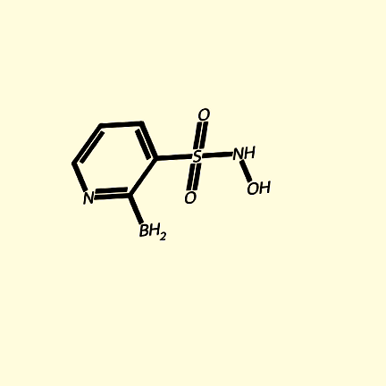 Bc1ncccc1S(=O)(=O)NO